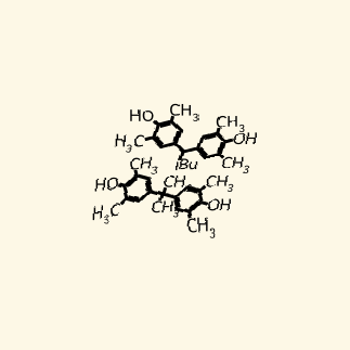 CCC(C)C(c1cc(C)c(O)c(C)c1)c1cc(C)c(O)c(C)c1.Cc1cc(C(C)(C)c2cc(C)c(O)c(C)c2)cc(C)c1O